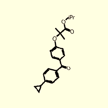 CC(C)OC(=O)C(C)(C)Oc1ccc(C(=O)c2ccc(C3CC3)cc2)cc1